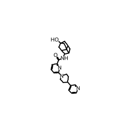 O=C(NC1C2CC3CC1CC(O)(C3)C2)c1cccc(N2CCC(c3cccnc3)CC2)n1